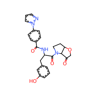 O=C(NC(Cc1cccc(O)c1)C(=O)N1CCC2OCC(=O)C21)c1ccc(-n2cccn2)cc1